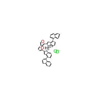 C1=C(c2ccco2)[CH]([Hf+2][CH]2C(c3ccco3)=Cc3c(-c4cccc5ccccc45)cccc32)c2cccc(-c3cccc4ccccc34)c21.[Cl-].[Cl-]